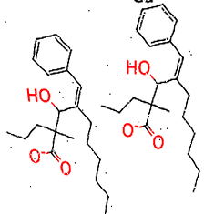 CCCCCCC(=Cc1ccccc1)C(O)C(C)(CCC)C(=O)[O-].CCCCCCC(=Cc1ccccc1)C(O)C(C)(CCC)C(=O)[O-].[Ca+2]